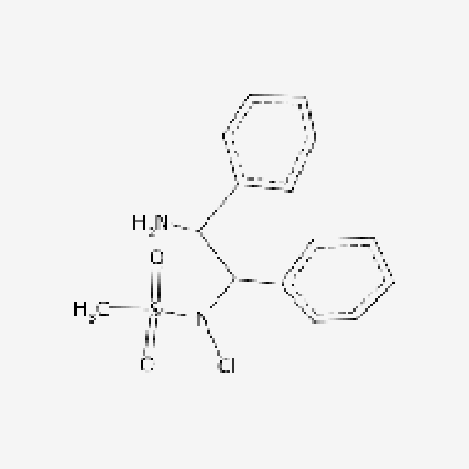 CS(=O)(=O)N(Cl)C(c1ccccc1)C(N)c1ccccc1